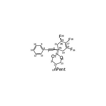 CCCCCC1COC([C@@]2(C#Cc3ccccc3)CC(F)=C(F)[C@H](F)C2)OC1